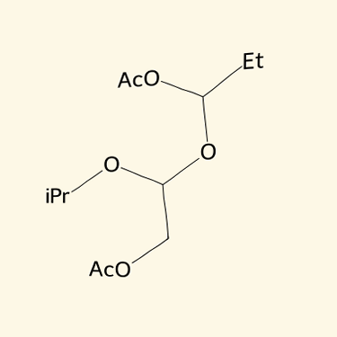 CCC(OC(C)=O)OC(COC(C)=O)OC(C)C